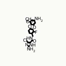 COc1cc(N)cc(Oc2c(Cl)ccc(CNC(=O)c3[nH]c(N)nc3Cl)c2F)c1